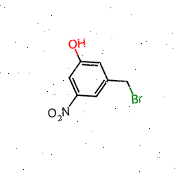 O=[N+]([O-])c1cc(O)cc(CBr)c1